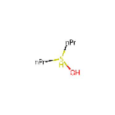 CCC[SH](O)CCC